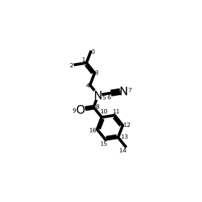 CC(C)=CCN(C#N)C(=O)c1ccc(C)cc1